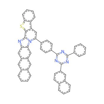 c1ccc(-c2nc(-c3ccc(-c4cc5c6ccccc6sc5c5nc6cc7cc8ccccc8cc7cc6n45)cc3)nc(-c3ccc4ccccc4c3)n2)cc1